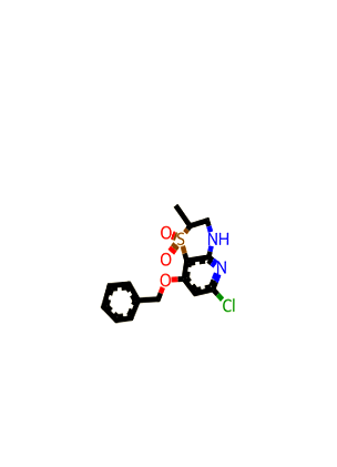 CC1CNc2nc(Cl)cc(OCc3ccccc3)c2S1(=O)=O